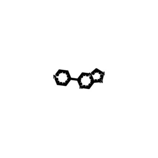 c1cc(-c2cn3cnnc3cn2)ccn1